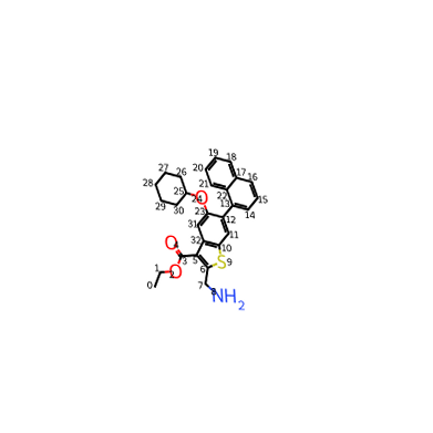 CCOC(=O)c1c(CN)sc2cc(-c3cccc4ccccc34)c(OC3CCCCC3)cc12